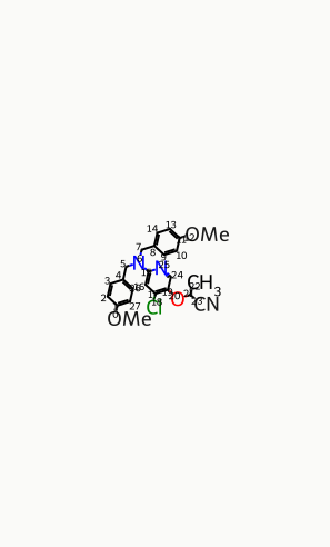 COc1ccc(CN(Cc2ccc(OC)cc2)c2cc(Cl)c(OC(C)C#N)cn2)cc1